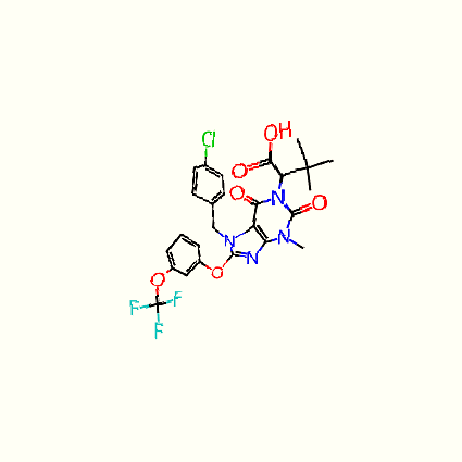 Cn1c(=O)n(C(C(=O)O)C(C)(C)C)c(=O)c2c1nc(Oc1cccc(OC(F)(F)F)c1)n2Cc1ccc(Cl)cc1